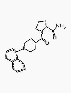 NC(=O)C1CCCN1C(=O)C1CCN(c2cccc3ccccc23)CC1